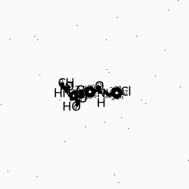 C=CC(=O)NC1CC(CO)N(S(=O)(=O)c2ccc(C(=O)NCCc3ccc(Cl)cc3)cc2)C1